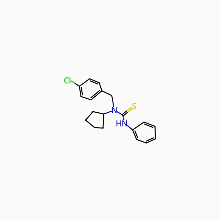 S=C(Nc1ccccc1)N(Cc1ccc(Cl)cc1)C1CCCC1